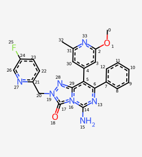 COc1cc(-c2c(-c3ccccc3)nc(N)n3c(=O)n(Cc4ccc(F)cn4)nc23)cc(C)n1